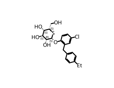 CCc1ccc(Cc2cc(Cl)ccc2O[C@H]2S[C@@H](CO)[C@@H](O)[C@H](O)[C@H]2O)cc1